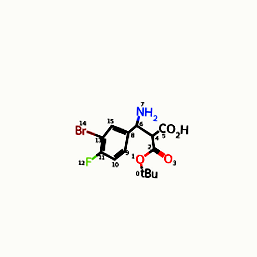 CC(C)(C)OC(=O)C(C(=O)O)C(N)c1ccc(F)c(Br)c1